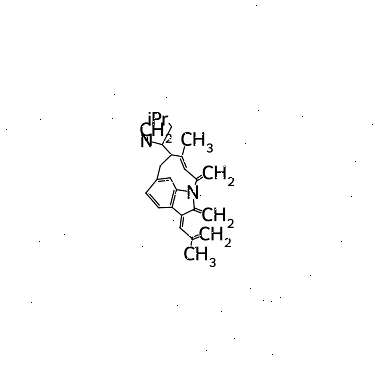 C=NC(CC(C)C)C1Cc2ccc3/c(=C/C(=C)C)c(=C)n(c3c2)C(=C)/C=C/1C